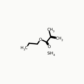 C=C(C)C(=O)OCCC.[SiH4]